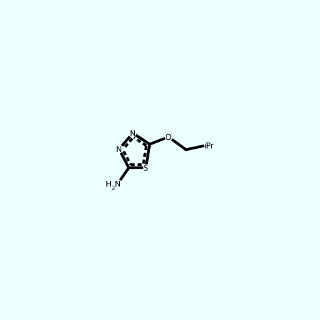 CC(C)COc1nnc(N)s1